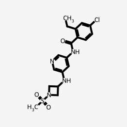 CCc1cc(Cl)ccc1C(=O)Nc1cncc(NC2CN(S(C)(=O)=O)C2)c1